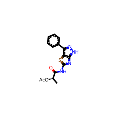 CC(=O)O[C@H](C)C(=O)Nc1nc2[nH]nc(-c3ccccc3)c2s1